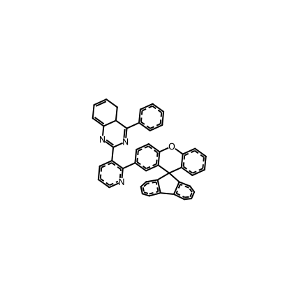 C1=CCC2C(=C1)N=C(c1cccnc1-c1ccc3c(c1)C1(c4ccccc4O3)c3ccccc3-c3ccccc31)N=C2c1ccccc1